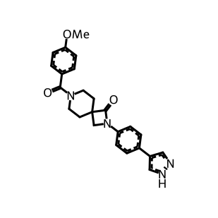 COc1ccc(C(=O)N2CCC3(CC2)CN(c2ccc(-c4cn[nH]c4)cc2)C3=O)cc1